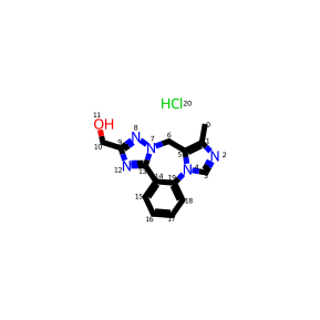 Cc1ncn2c1Cn1nc(CO)nc1-c1ccccc1-2.Cl